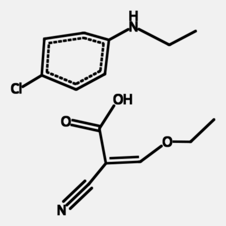 CCNc1ccc(Cl)cc1.CCO/C=C(/C#N)C(=O)O